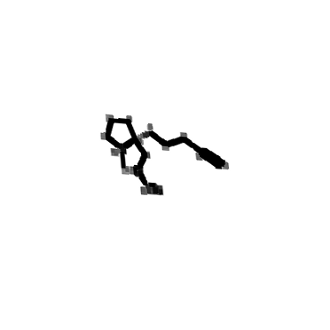 C#CCCC[C@@]1(COC(C)(C)C)CCCN1C